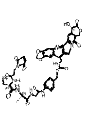 CC(C)C[C@@H](NC(=O)CCN1C(=O)C=CC1=O)C(=O)N[C@@H](C)C(=O)NCC(=O)Nc1ccc(COC(=O)NCc2c3c(nc4cc5c(cc24)OCO5)-c2cc4c(c(=O)n2C3)COC(=O)[C@H]4O)cc1